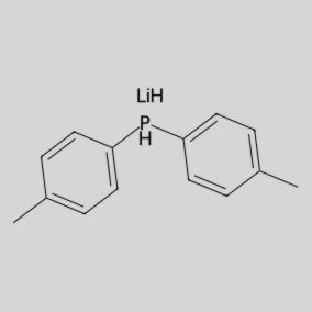 Cc1ccc(Pc2ccc(C)cc2)cc1.[LiH]